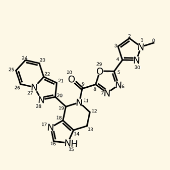 Cn1ccc(-c2nnc(C(=O)N3CCc4[nH]cnc4C3c3cc4ccccn4n3)o2)n1